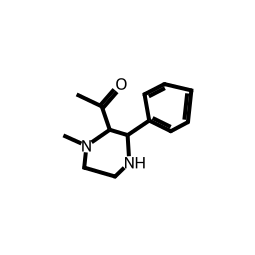 CC(=O)C1C(c2ccccc2)NCCN1C